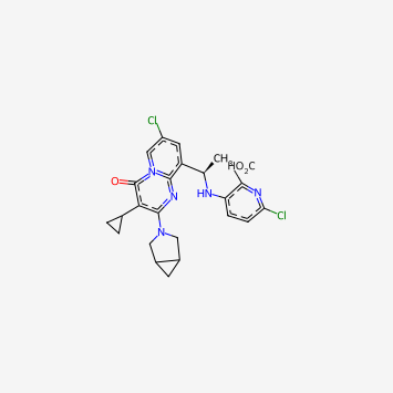 C[C@@H](Nc1ccc(Cl)nc1C(=O)O)c1cc(Cl)cn2c(=O)c(C3CC3)c(N3CC4CC4C3)nc12